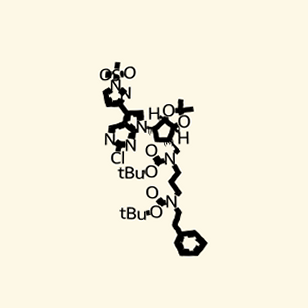 CC(C)(C)OC(=O)N(CCCN(C[C@H]1C[C@@H](n2cc(-c3ccn(S(C)(=O)=O)n3)c3cnc(Cl)nc32)[C@@H]2OC(C)(C)O[C@H]12)C(=O)OC(C)(C)C)CCc1ccccc1